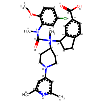 COc1ccc(Cl)cc1N(C)C(=O)[N+](C)(C1CCN(c2cc(C)nc(C)c2)CC1)C1CCc2ccc(C(=O)O)cc21